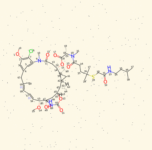 COc1cc2cc(c1Cl)N(C)C(=O)C[C@H](OC(=O)[C@H](C)N(C)C(=O)CCC(C)(C)SCC(=O)NCCC(C)C)[C@@]1(C)C[C@H]1[C@H](C)[C@@H]1C[C@@](O)(NC(=O)O1)[C@H](OC)/C=C/C=C(\C)C2